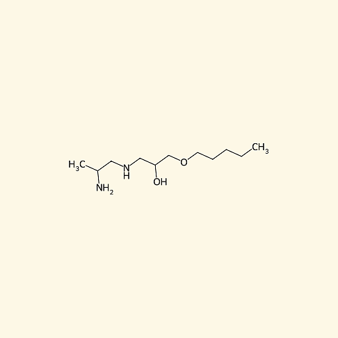 CCCCCOCC(O)CNCC(C)N